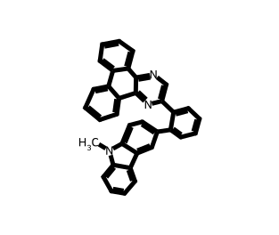 Cn1c2ccccc2c2cc(-c3ccccc3-c3cnc4c5ccccc5c5ccccc5c4n3)ccc21